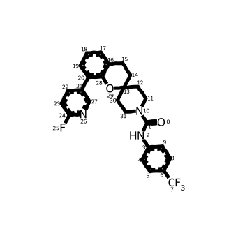 O=C(Nc1ccc(C(F)(F)F)cc1)N1CCC2(CCc3cccc(-c4ccc(F)nc4)c3O2)CC1